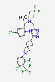 CC1(N2Cc3cc(Cl)ccc3-n3c(nnc3C3CC4(C3)CN(c3ccc(F)c(C(F)(F)F)c3F)C4)C2)CC(F)(F)C1